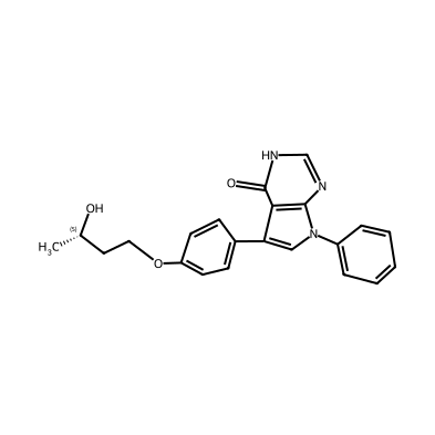 C[C@H](O)CCOc1ccc(-c2cn(-c3ccccc3)c3nc[nH]c(=O)c23)cc1